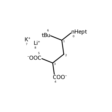 CCCCCCCC(CC(C(=O)[O-])C(=O)[O-])C(C)(C)C.[K+].[Li+]